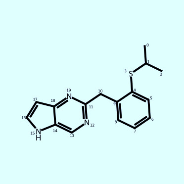 CC(C)Sc1ccccc1Cc1ncc2[nH]ccc2n1